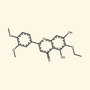 CCOc1c(O)cc2oc(-c3ccc(OC)c(OC)c3)cc(=O)c2c1O